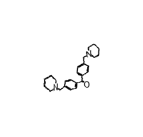 O=C(c1ccc(CN2CCCCC2)cc1)c1ccc(CN2CCCCC2)cc1